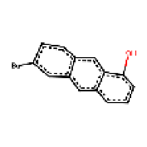 CCC(C)c1ccc2cc3c(O)cccc3cc2c1